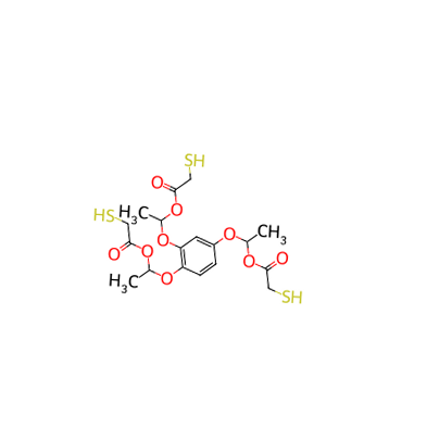 CC(OC(=O)CS)Oc1ccc(OC(C)OC(=O)CS)c(OC(C)OC(=O)CS)c1